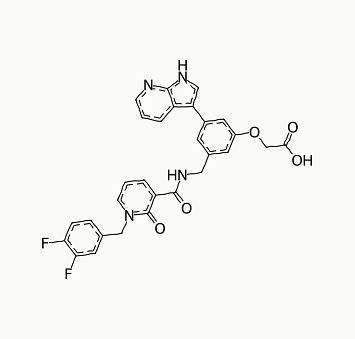 O=C(O)COc1cc(CNC(=O)c2cccn(Cc3ccc(F)c(F)c3)c2=O)cc(-c2c[nH]c3ncccc23)c1